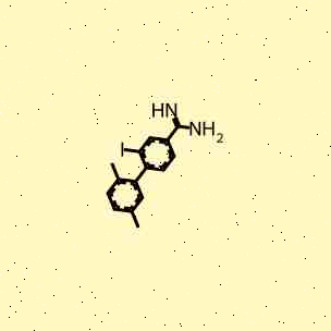 Cc1ccc(C)c(-c2ccc(C(=N)N)cc2I)c1